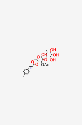 CC(=O)OC1C(OC(=O)/C=C/c2ccc(C)cc2)C(C)OC(O)[C@H]1OC1CC(C)C(O)C(O)C1O